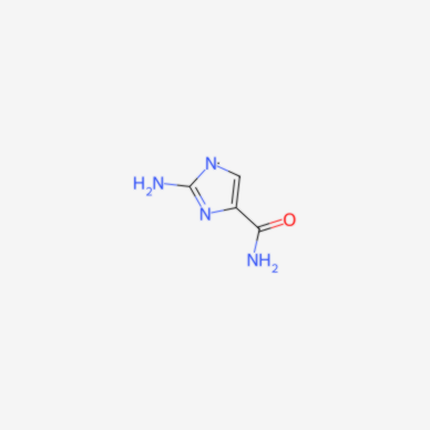 NC(=O)C1=C[N]C(N)=N1